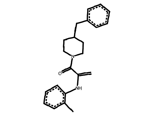 C=C(Nc1ccccc1C)C(=O)N1CCC(Cc2ccccc2)CC1